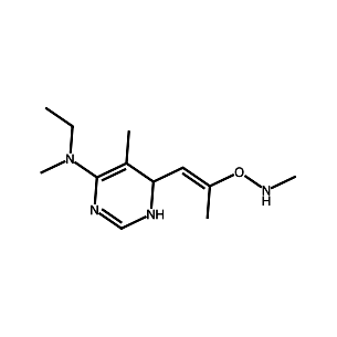 CCN(C)C1=C(C)C(/C=C(\C)ONC)NC=N1